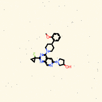 COc1ccccc1C1CCN(c2nc(C3(F)CC3)nc3cnc(N4CCC(O)C4)cc23)CC1